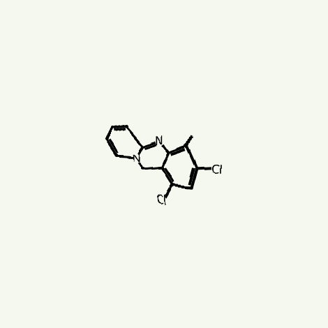 Cc1c(Cl)cc(Cl)c2c1N=C1C=CC=CN1C2